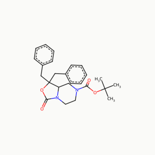 CC(C)(C)OC(=O)N1CCN2C(=O)OC(Cc3ccccc3)(Cc3ccccc3)C2C1